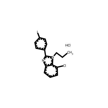 CCCn1c(-c2ccc(I)cc2)nc2cccc(Cl)c21.Cl